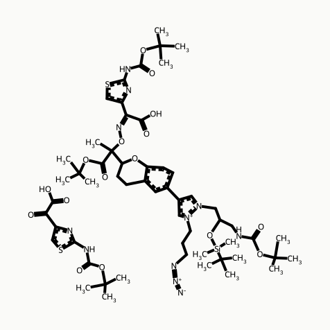 CC(C)(C)OC(=O)NCC(Cn1cc(-c2ccc3c(c2)CCC(C(C)(O/N=C(\C(=O)O)c2csc(NC(=O)OC(C)(C)C)n2)C(=O)OC(C)(C)C)O3)c[n+]1CCCN=[N+]=[N-])O[Si](C)(C)C(C)(C)C.CC(C)(C)OC(=O)Nc1nc(C(=O)C(=O)O)cs1